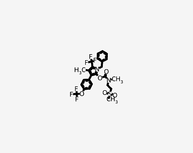 Cc1c(-c2ccc(OC(F)(F)F)cc2)c(OC(=O)N(C)CCS(C)(=O)=O)n(Cc2ccccc2)c1C(F)(F)F